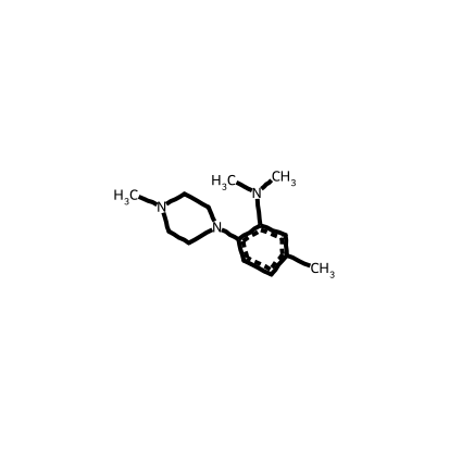 Cc1ccc(N2CCN(C)CC2)c(N(C)C)c1